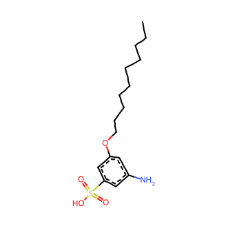 CCCCCCCCCCOc1cc(N)cc(S(=O)(=O)O)c1